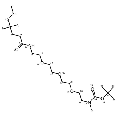 CSSC(C)(C)CCC(=O)NCCOCCOCCOCCN(C)C(=O)OC(C)(C)C